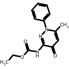 CCOC(=O)Nc1nn(-c2ccccc2)c(C)cc1=O